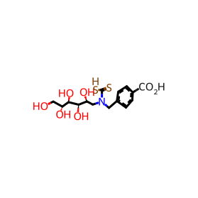 O=C(O)c1ccc(CN(C[C@H](O)[C@@H](O)[C@H](O)[C@H](O)CO)C(=S)S)cc1